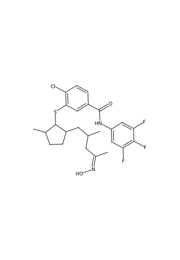 C/C(CC(C)CC1CCC(C)C1Sc1cc(C(=O)Nc2cc(F)c(F)c(F)c2)ccc1Cl)=N/O